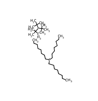 CC(C)(C)P(C(C)(C)C)C(C)(C)C.CCCCCCCCP(CCCCCCCC)CCCCCCCC